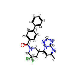 Cc1cc(C2CN(C(=O)c3ccc(-c4ccccc4)cc3)CC(F)(F)C2)n2ncnc2n1